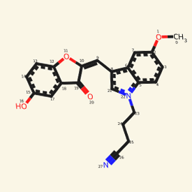 COc1ccc2c(c1)c(C=C1Oc3ccc(O)cc3C1=O)cn2CCCC#N